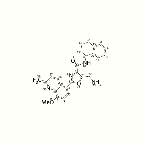 COc1ccc(-c2nc(C(=O)NC3CCCc4ccccc43)c(CN)o2)c2ccc(C(F)(F)F)nc12